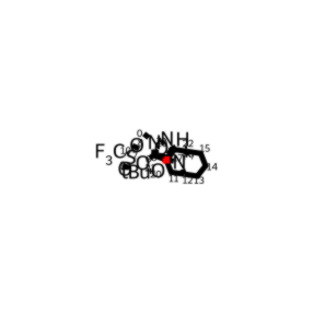 Cn1nc2c(c1OS(=O)(=O)C(F)(F)F)CC1CCC[C@H]2N1C(=O)OC(C)(C)C